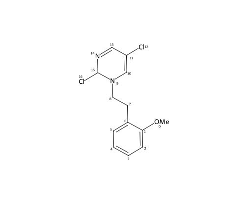 COc1ccccc1CCN1C=C(Cl)C=NC1Cl